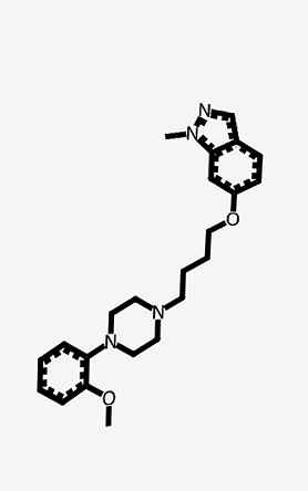 COc1ccccc1N1CCN(CCCCOc2ccc3cnn(C)c3c2)CC1